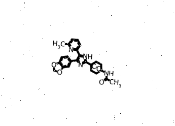 CC(=O)NC12CCC(c3nc(-c4ccc5c(c4)OCO5)c(-c4cccc(C)n4)[nH]3)(CC1)CC2